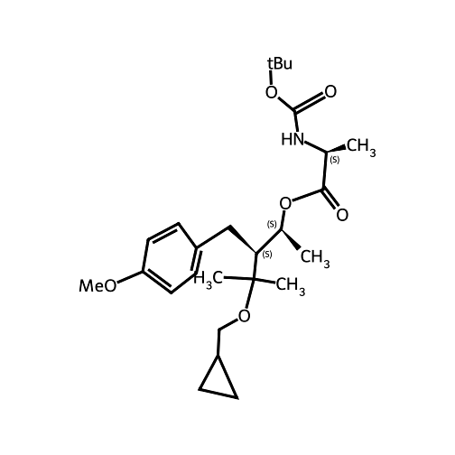 COc1ccc(C[C@@H]([C@H](C)OC(=O)[C@H](C)NC(=O)OC(C)(C)C)C(C)(C)OCC2CC2)cc1